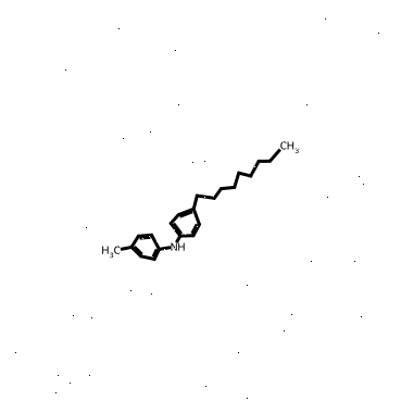 CCCCCCCCCc1ccc(Nc2ccc(C)cc2)cc1